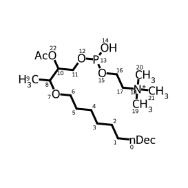 CCCCCCCCCCCCCCCCOC(C)C(COP(O)OCC[N+](C)(C)C)OC(C)=O